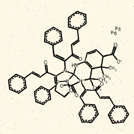 CC1(C)C2=C(C=CC1C(=O)[O-])NC(B1OCCO1)(N(C(=Cc1ccccc1)C(=O)C=Cc1ccccc1)C(=Cc1ccccc1)C(=O)C=Cc1ccccc1)[N+](C(=O)[O-])(C(=Cc1ccccc1)C(=O)C=Cc1ccccc1)C2(C)C.[Pd].[Pd]